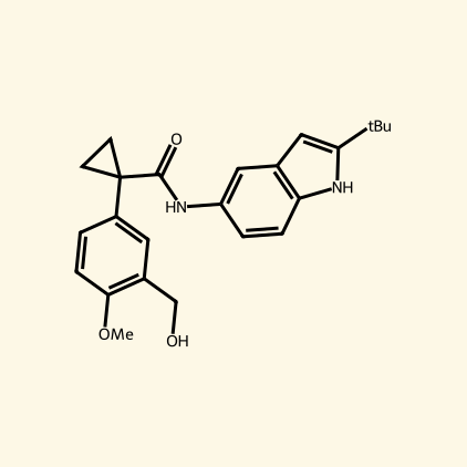 COc1ccc(C2(C(=O)Nc3ccc4[nH]c(C(C)(C)C)cc4c3)CC2)cc1CO